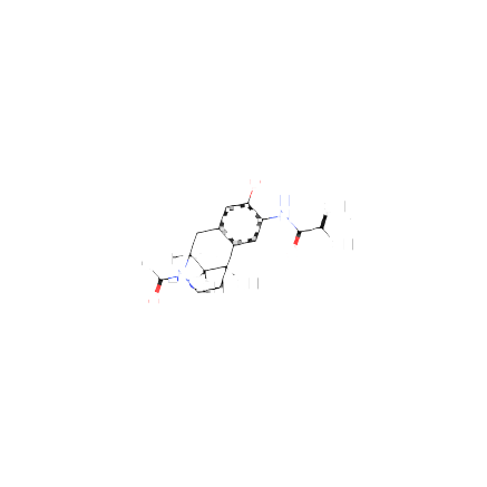 C=C(C)C(=O)Nc1cc2c(cc1O)C[C@H]1N(C(=O)C(F)(F)F)CC[C@]2(C)C1(C)C